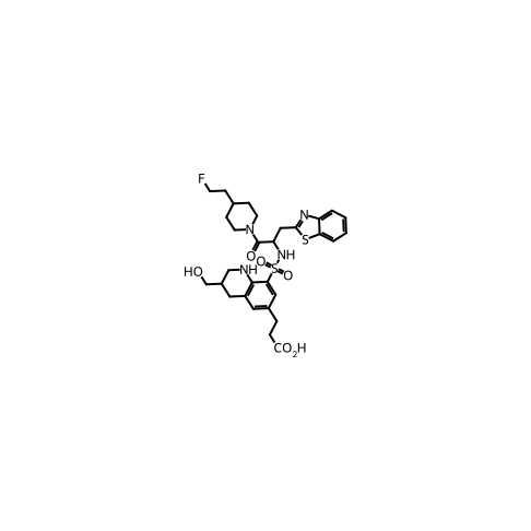 O=C(O)CCc1cc2c(c(S(=O)(=O)NC(Cc3nc4ccccc4s3)C(=O)N3CCC(CCF)CC3)c1)NCC(CO)C2